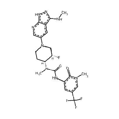 CNc1n[nH]c2ncc(N3CC[C@@H](N(C)C(=O)Nc4cc(C(F)(F)F)cn(C)c4=O)[C@@H](F)C3)cc12